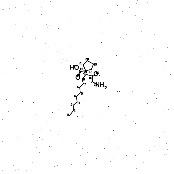 CCCCCCCCCC(C(=O)CN)C1(C(=O)O)CCCC1